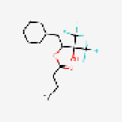 CCCC(=O)OC(CC1CCCCC1)C(O)(C(F)(F)F)C(F)(F)F